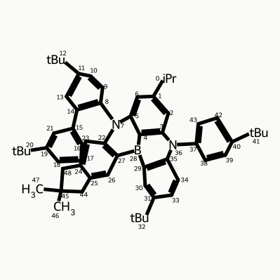 CC(C)c1cc2c3c(c1)N(c1ccc(C(C)(C)C)cc1-c1cccc(C(C)(C)C)c1)c1cc4c(cc1B3c1cc(C(C)(C)C)ccc1N2c1ccc(C(C)(C)C)cc1)CC(C)(C)C4